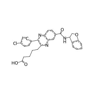 O=C(O)CCCCc1nc2cc(C(=O)NC3COc4ccccc43)ccc2nc1-c1ccc(Cl)cc1